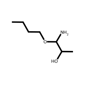 CCCCOC(N)C(C)O